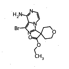 CCOC(=O)C1(c2nc(Br)c3c(N)nccn23)CCOCC1